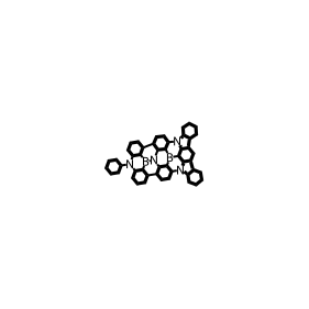 c1ccc(N2c3cccc4c3B3c5c(cccc52)-c2ccc5c6c2N3c2c-4ccc3c2B6c2c4c(cc6c7ccccc7n-5c26)c2ccccc2n4-3)cc1